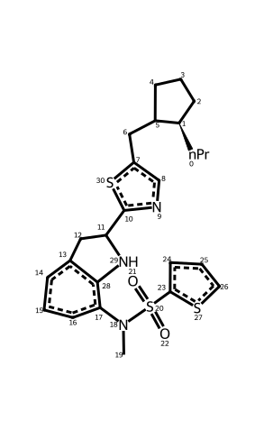 CCC[C@@H]1CCCC1Cc1cnc(C2Cc3cccc(N(C)S(=O)(=O)c4cccs4)c3N2)s1